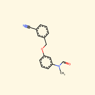 CN(C=O)c1cccc(OCc2cccc(C#N)c2)c1